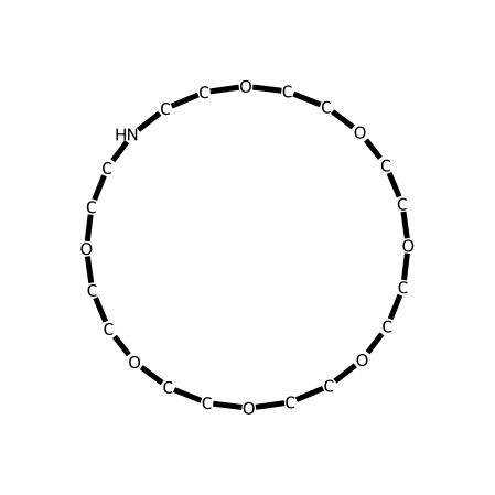 C1COCCOCCOCCOCCOCCOCCOCCN1